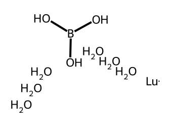 O.O.O.O.O.O.OB(O)O.[Lu]